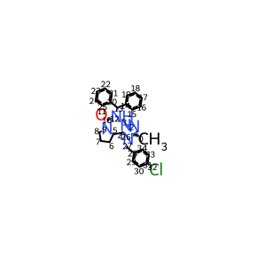 Cc1nnc(C2CCCN2C(=O)NC(c2ccccc2)c2ccccc2)n1Cc1ccc(Cl)cc1